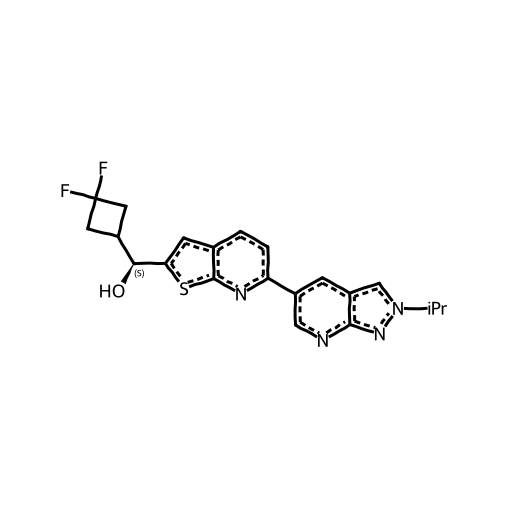 CC(C)n1cc2cc(-c3ccc4cc([C@@H](O)C5CC(F)(F)C5)sc4n3)cnc2n1